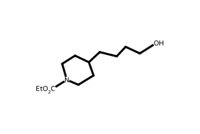 CCOC(=O)N1CCC(CCCCO)CC1